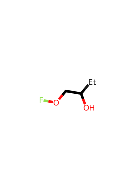 CCC(O)COF